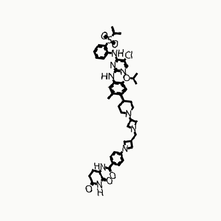 Cc1cc(Nc2ncc(Cl)c(Nc3ccccc3S(=O)(=O)C(C)C)n2)c(OC(C)C)cc1C1CCN(C2CN(CC3CN(c4ccc(C(=O)NC5CCC(=O)NC5=O)cc4)C3)C2)CC1